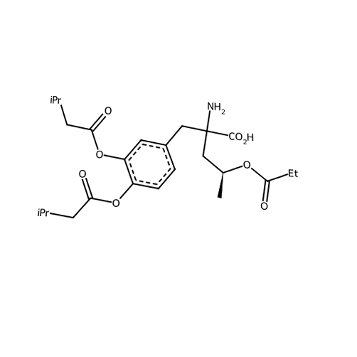 CCC(=O)O[C@@H](C)CC(N)(Cc1ccc(OC(=O)CC(C)C)c(OC(=O)CC(C)C)c1)C(=O)O